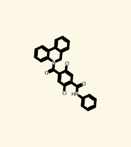 O=C(Nc1ccccc1)c1cc(Cl)c(C(=O)N2Cc3ccccc3-c3ccccc32)cc1Cl